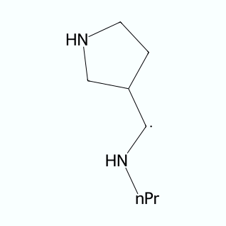 CCCN[CH]C1CCNC1